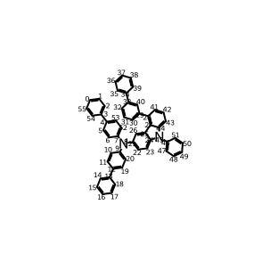 c1ccc(-c2ccc(N(c3ccc(-c4ccccc4)cc3)c3ccc4c(c3)c3c(-c5cccc(-c6ccccc6)c5)cccc3n4-c3ccccc3)cc2)cc1